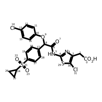 O=C(O)Cc1nc(NC(=O)C(Oc2ccc(Cl)cc2)c2ccc(S(=O)(=O)C3CC3)cc2)sc1Cl